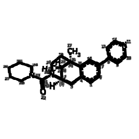 C[C@@H]1[C@H]2Cc3ccc(-c4ccncc4)cc3[C@]1(C)CCN2C(=O)N1CCCCC1